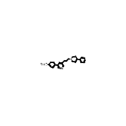 COc1ccc(-c2cncc(CCCN3CC=C(c4ccccc4)CC3)c2)cc1